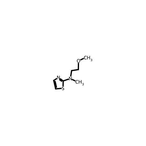 COCCN(C)c1nccs1